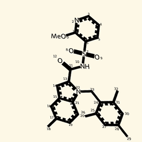 COc1ncccc1S(=O)(=O)NC(=O)c1cc2cc(C)ccc2n1Cc1c(C)cc(C)cc1C